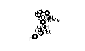 CCOc1ccn(-c2ccc(F)cc2)c(=O)c1C(=O)Nc1ccc(Oc2ccnn3ccc(-c4cccc(S(=O)(=O)NC)c4)c23)c(F)c1